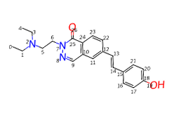 CCN(CC)CCn1ncc2cc(C=Cc3ccc(O)cc3)ccc2c1=O